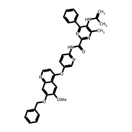 C=C(C)Nc1c(C)nc(C(=O)Nc2ccc(Oc3ccnc4cc(OCc5ccccc5)c(OC)cc34)cn2)nc1-c1ccccc1